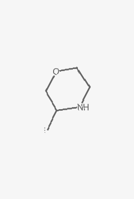 [C]C1COCCN1